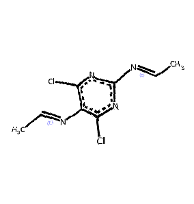 C/C=N/c1nc(Cl)c(/N=C/C)c(Cl)n1